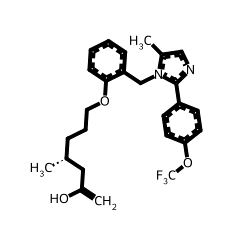 C=C(O)C[C@H](C)CCCOc1ccccc1Cn1c(C)cnc1-c1ccc(OC(F)(F)F)cc1